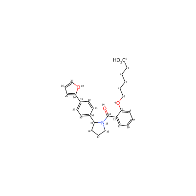 O=C(O)CCCCCOc1ccccc1C(=O)N1CCCC1c1ccc(-c2ccco2)cc1